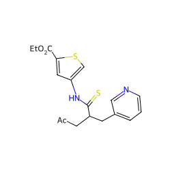 CCOC(=O)c1cc(NC(=S)C(CC(C)=O)Cc2cccnc2)cs1